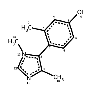 Cc1cc(O)ccc1-c1c(C)ncn1C